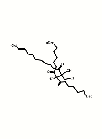 CCCCCCCCC=CCCCCCCCC(=O)C(O)(CO)C(O)(C(=O)CCCCCCCCCCCCCCC)C(=O)CCCCCCCCCCCCCCC